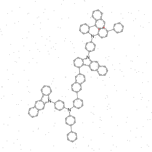 c1ccc(-c2ccc(N(c3ccc(-n4c5ccccc5c5cc6ccccc6cc54)cc3)c3cccc(-c4ccc5cc(-c6cccc7c6c6cc8ccccc8cc6n7-c6ccc(N(c7ccc(-c8ccccc8)cc7)c7ccccc7-c7cccc8ccccc78)cc6)ccc5c4)c3)cc2)cc1